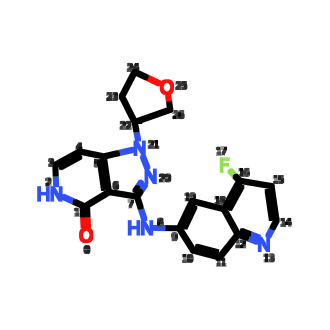 O=c1[nH]ccc2c1c(Nc1ccc3nccc(F)c3c1)nn2[C]1CCOC1